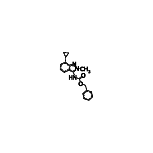 Cn1nc2c(C3CC3)cccc2c1NC(=O)OCc1ccccc1